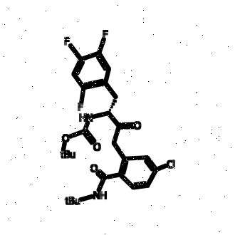 CC(C)(C)NC(=O)c1ccc(Cl)cc1CC(=O)[C@@H](Cc1cc(F)c(F)cc1F)NC(=O)OC(C)(C)C